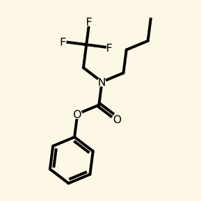 CCCCN(CC(F)(F)F)C(=O)Oc1ccccc1